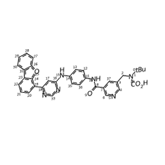 CC(C)(C)N(Cc1cncc(C(=O)Nc2ccc(Nc3cc(-c4cccc5c4oc4ccccc45)ncn3)cc2)c1)C(=O)O